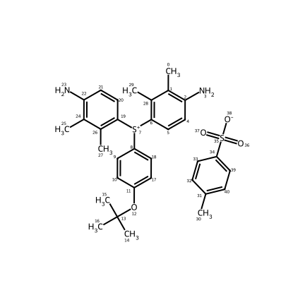 Cc1c(N)ccc([S+](c2ccc(OC(C)(C)C)cc2)c2ccc(N)c(C)c2C)c1C.Cc1ccc(S(=O)(=O)[O-])cc1